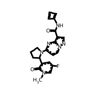 Cn1cc(F)cc(C2CCCN2c2ccn3ncc(C(=O)NC4=CC=C4)c3n2)c1=O